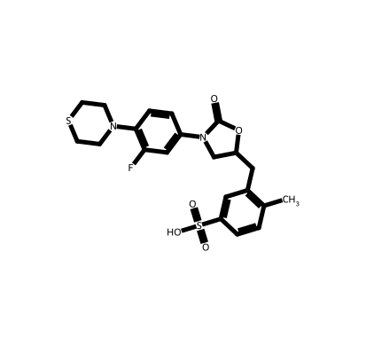 Cc1ccc(S(=O)(=O)O)cc1CC1CN(c2ccc(N3CCSCC3)c(F)c2)C(=O)O1